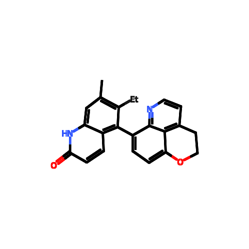 CCc1c(C)cc2[nH]c(=O)ccc2c1-c1ccc2c3c(ccnc13)CCO2